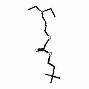 CCN(CC)CCCOC(=O)OCCC(C)(C)C